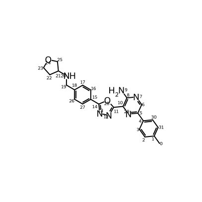 Cc1ccc(-c2cnc(N)c(-c3nnc(-c4ccc(CNC5CCOC5)cc4)o3)n2)cc1